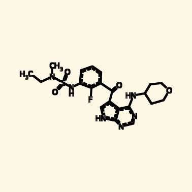 CCN(C)S(=O)(=O)Nc1cccc(C(=O)c2c[nH]c3ncnc(NC4CCOCC4)c23)c1F